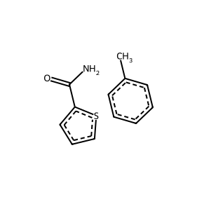 Cc1ccccc1.NC(=O)c1cccs1